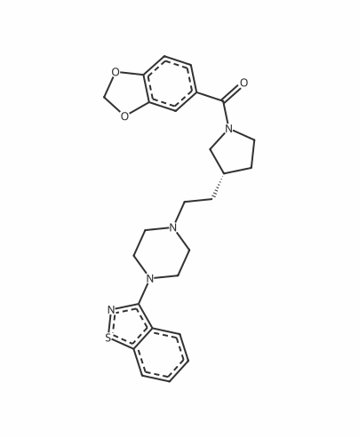 O=C(c1ccc2c(c1)OCO2)N1CC[C@H](CCN2CCN(c3nsc4ccccc34)CC2)C1